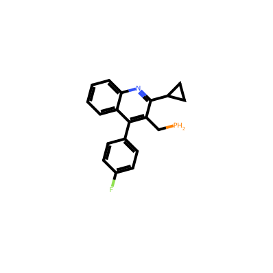 Fc1ccc(-c2c(CP)c(C3CC3)nc3ccccc23)cc1